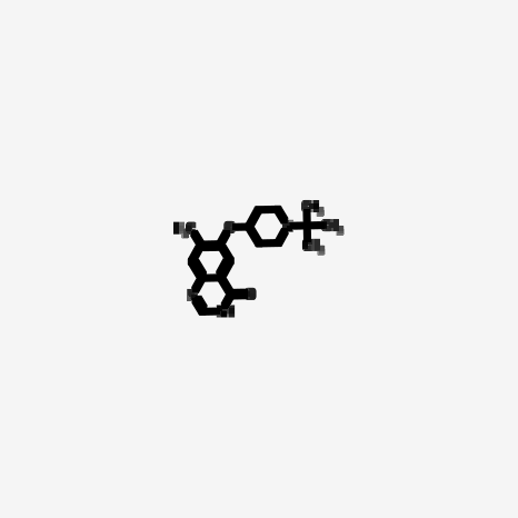 Cc1cc2nc[nH]c(=O)c2cc1OC1CCN(C(C)(C)C)CC1